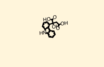 O=C(O)CC(O)(C(=O)O)c1cccc2[nH]c3ccccc3c12